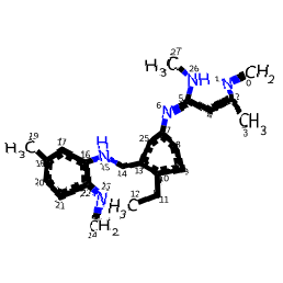 C=N/C(C)=C\C(=N/c1ccc(CC)c(CNc2cc(C)ccc2N=C)c1)NC